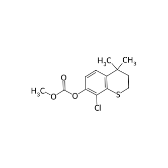 COC(=O)Oc1ccc2c(c1Cl)SCCC2(C)C